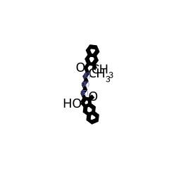 C\C(=C/C=C/C=C/C1=C(O)c2cc3ccccc3cc2C1=O)C(=O)c1cc2ccccc2cc1C